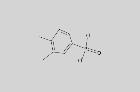 Cc1ccc(P(=O)(Cl)Cl)cc1C